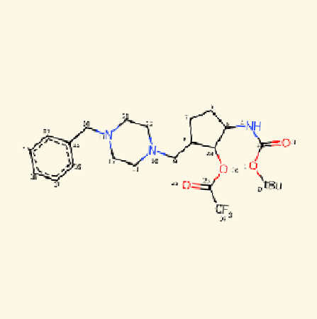 CC(C)(C)OC(=O)NC1CCC(CN2CCN(Cc3ccccc3)CC2)C1OC(=O)C(F)(F)F